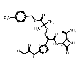 CC(C)(ON=C(C(=O)N[C@@H]1C(=O)N[C@@H]1C(N)=O)c1csc(NC(=O)CCl)n1)C(=O)OCc1ccc([N+](=O)[O-])cc1